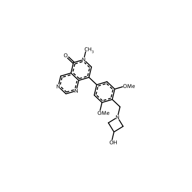 COc1cc(-c2cn(C)c(=O)c3cncnc23)cc(OC)c1CN1CC(O)C1